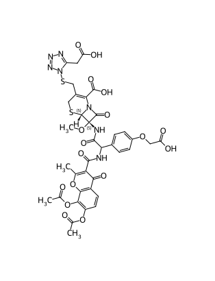 CO[C@@]1(NC(=O)C(NC(=O)c2c(C)oc3c(OC(C)=O)c(OC(C)=O)ccc3c2=O)c2ccc(OCC(=O)O)cc2)C(=O)N2C(C(=O)O)=C(CSn3nnnc3CC(=O)O)CS[C@H]21